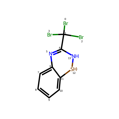 BrC(Br)(Br)C1=Nc2ccccc2[SH]N1